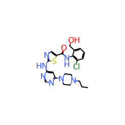 CCCN1CCN(c2cc(Nc3ncc(C(=O)Nc4c(Cl)cccc4CO)s3)ncn2)CC1